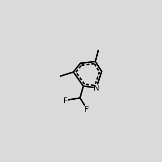 Cc1cnc(C(F)F)c(C)c1